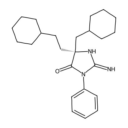 N=C1N[C@](CCC2CCCCC2)(CC2CCCCC2)C(=O)N1c1ccccc1